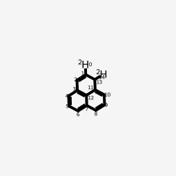 [2H]C1=Cc2cccc3cccc(c23)C1[2H]